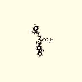 O=C(C[C@@H](CCCCc1c[nH]c2ccccc12)C(=O)O)c1ccc2c3c(oc2c1)CCC3